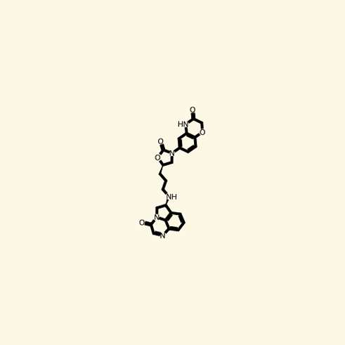 O=C1COc2ccc(N3C[C@@H](CCCN[C@@H]4Cn5c(=O)cnc6cccc4c65)OC3=O)cc2N1